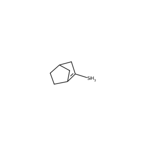 [SiH3]C1=C2CCC(C1)C2